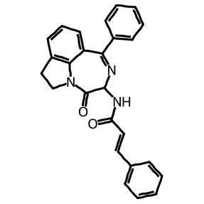 O=C(/C=C/c1ccccc1)NC1N=C(c2ccccc2)c2cccc3c2N(CC3)C1=O